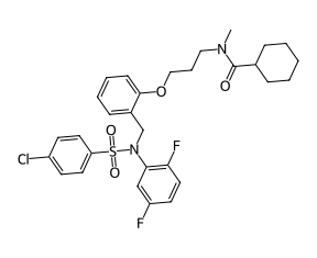 CN(CCCOc1ccccc1CN(c1cc(F)ccc1F)S(=O)(=O)c1ccc(Cl)cc1)C(=O)C1CCCCC1